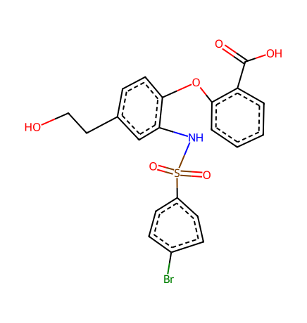 O=C(O)c1ccccc1Oc1ccc(CCO)cc1NS(=O)(=O)c1ccc(Br)cc1